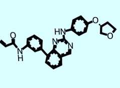 C=CC(=O)Nc1cccc(-c2cccc3cnc(Nc4ccc(O[C@@H]5CCOC5)cc4)nc23)c1